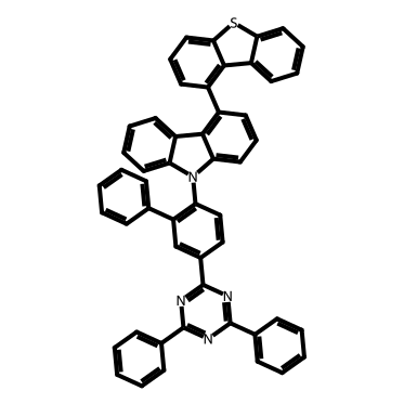 c1ccc(-c2nc(-c3ccccc3)nc(-c3ccc(-n4c5ccccc5c5c(-c6cccc7sc8ccccc8c67)cccc54)c(-c4ccccc4)c3)n2)cc1